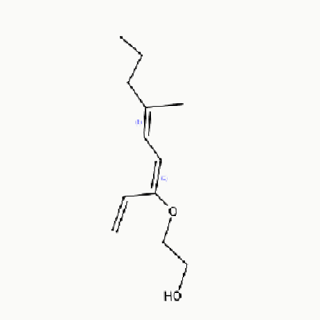 C=C/C(=C\C=C(/C)CCC)OCCO